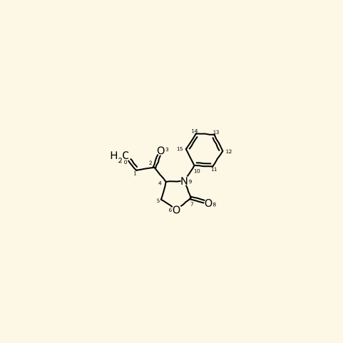 C=CC(=O)C1COC(=O)N1c1ccccc1